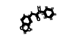 O=C(Cc1ccc2c(c1)OCO2)Nc1ccccc1